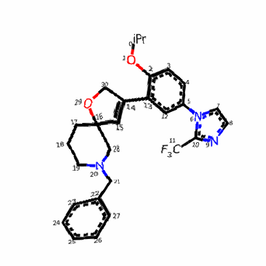 CC(C)Oc1ccc(-n2ccnc2C(F)(F)F)cc1C1=CC2(CCCN(Cc3ccccc3)C2)OC1